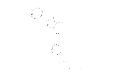 COCCN(C)c1ncc(NC(=O)c2oc(-c3ccccc3)nc2C(F)(F)F)cn1